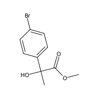 COC(=O)C(C)(O)c1ccc(Br)cc1